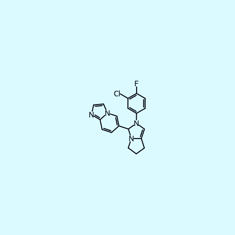 Fc1ccc(N2C=C3CCCN3C2c2ccc3nccn3c2)cc1Cl